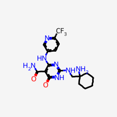 NC(=O)c1c(Nc2ccc(C(F)(F)F)nc2)nc(NCC2(N)CCCCC2)[nH]c1=O